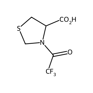 O=C(O)C1CSCN1C(=O)C(F)(F)F